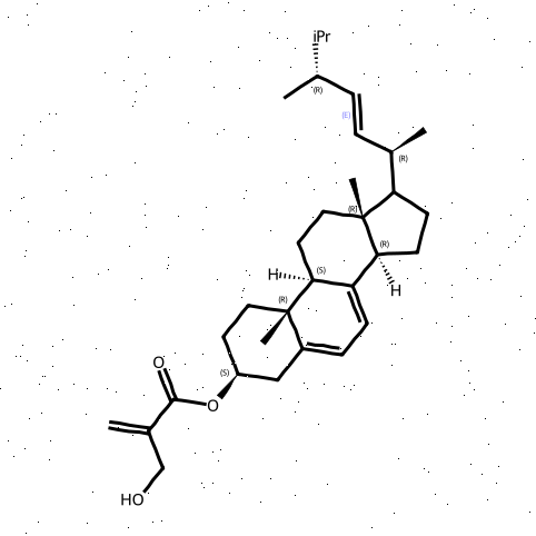 C=C(CO)C(=O)O[C@H]1CC[C@@]2(C)C(=CC=C3[C@@H]2CC[C@]2(C)C([C@H](C)/C=C/[C@H](C)C(C)C)CC[C@@H]32)C1